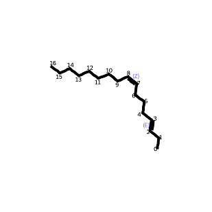 CC/C=C/CCC/C=C\CCCCCCCC